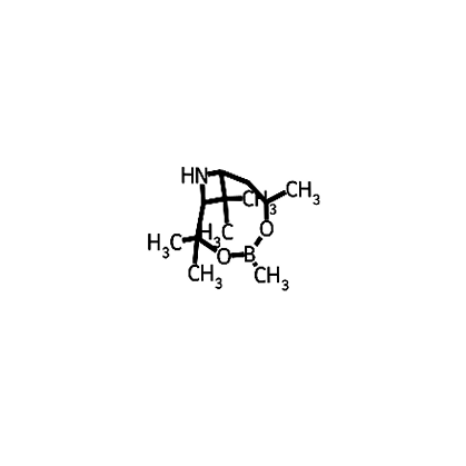 CB1OC(C)CC2NC(C(C)(C)O1)C2(C)C